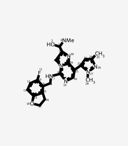 CNC(O)c1cn2c(NCc3c(F)ccc4c3CCO4)ncc(-c3cc(C)nn3C)c2n1